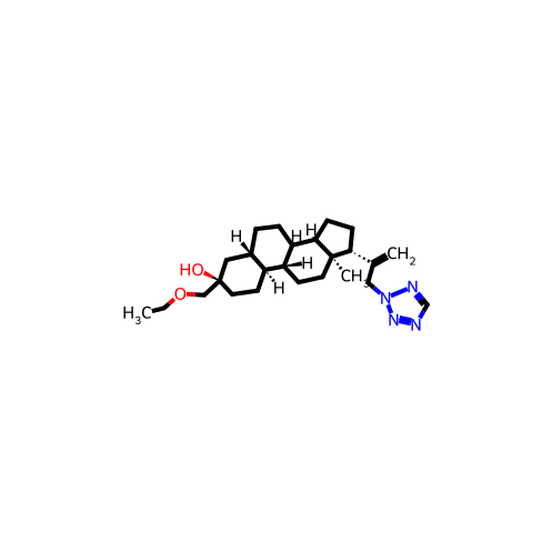 C=C(Cn1ncnn1)[C@H]1CC[C@H]2[C@@H]3CC[C@H]4C[C@@](O)(COCC)CC[C@@H]4[C@H]3CC[C@]12C